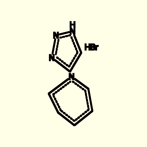 Br.c1c[nH]nn1.c1ccncc1